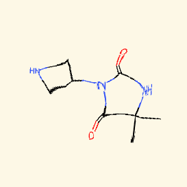 CC1(C)NC(=O)N(C2CNC2)C1=O